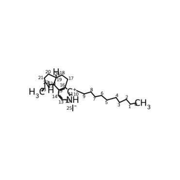 CCCCCCCCCCC[c+]1[nH]ccc2c1CC[C@H]1CCN(C)[C@@H]21.[I-]